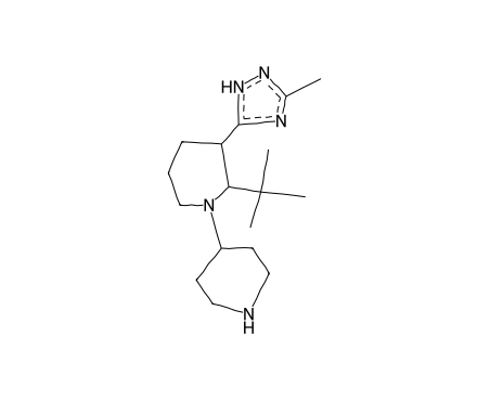 Cc1n[nH]c(C2CCCN(C3CCNCC3)C2C(C)(C)C)n1